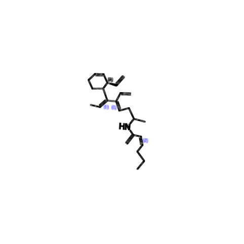 C=CC(=C\CC(C)NC(=C)/C=C\CCC)/C(=C/C)C1CCC=C[C@H]1C=C